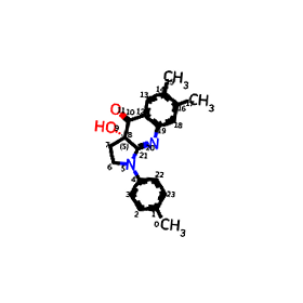 Cc1ccc(N2CC[C@@]3(O)C(=O)c4cc(C)c(C)cc4N=C23)cc1